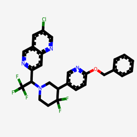 FC(F)(F)C(c1cc2ncc(Cl)cc2cn1)N1CCC(F)(F)C(c2ccc(OCc3ccccc3)nc2)C1